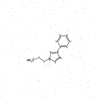 O=C(O)CCn1cnc(-c2ccccc2)c1